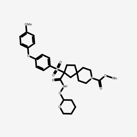 COc1ccc(Oc2ccc(S(=O)(=O)C3(C(=O)NOC4CCCCO4)CCC4(CCN(C(=O)OC(C)(C)C)CC4)C3)cc2)cc1